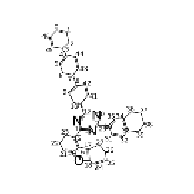 C1=CCC(C2=CCC(C3=CCC(c4nc(C5=c6c7c(oc6=CCC5)C=CCC7)nc(-c5ccc6c(c5)CCCC6)n4)C=C3)C=C2)C=C1